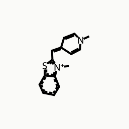 CN1C=CC(=Cc2sc3ccccc3[n+]2C)C=C1